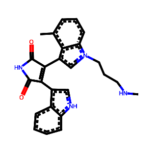 CNCCCn1cc(C2=C(c3c[nH]c4ccccc34)C(=O)NC2=O)c2c(C)cccc21